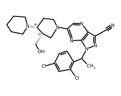 CC(c1ccc(Cl)cc1Cl)n1nc(C#N)c2ncc(N3CC[C@@H](N4CCCCC4)[C@@H](CO)C3)nc21